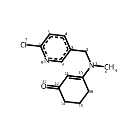 CN(Cc1ccc(Cl)nc1)C1=CC(=O)CCC1